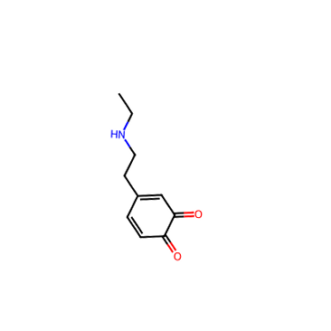 CCNCCC1=CC(=O)C(=O)C=C1